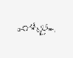 NC(=O)c1ccnc(OCc2nc(-c3ccc(Cl)cc3)cs2)c1Cl